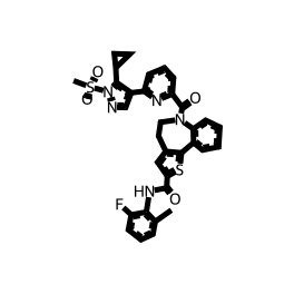 Cc1cccc(F)c1NC(=O)c1cc2c(s1)-c1ccccc1N(C(=O)c1cccc(-c3cnn(S(C)(=O)=O)c3C3CC3)n1)CC2